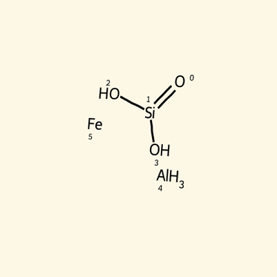 O=[Si](O)O.[AlH3].[Fe]